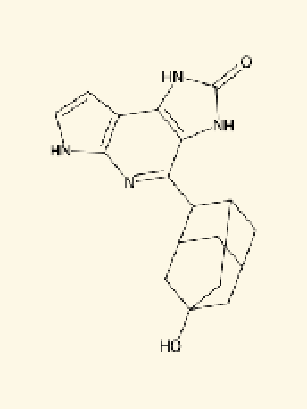 O=c1[nH]c2c(C3C4CC5CC3CC(O)(C5)C4)nc3[nH]ccc3c2[nH]1